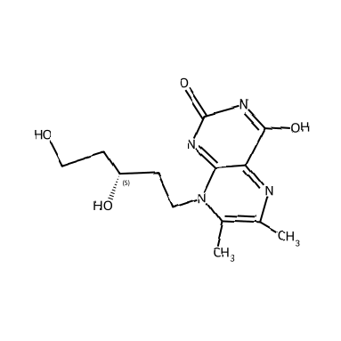 Cc1nc2c(O)nc(=O)nc-2n(CC[C@H](O)CCO)c1C